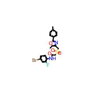 Cc1ccc(-c2nc(CS(=O)(=O)CC(=O)Nc3ccc(Br)cc3F)c(C)o2)cc1